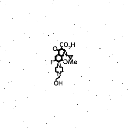 COc1c(N2CCN(CCO)CC2)c(F)cc2c(=O)c(C(=O)O)cn(C3CC3)c12